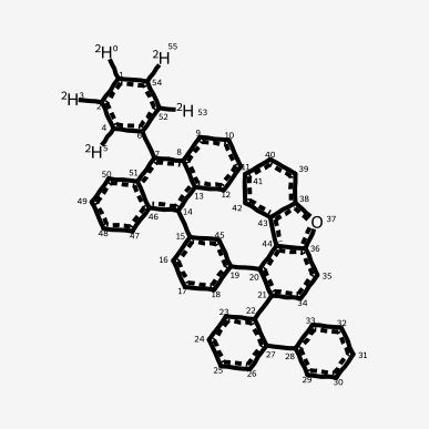 [2H]c1c([2H])c([2H])c(-c2c3ccccc3c(-c3cccc(-c4c(-c5ccccc5-c5ccccc5)ccc5oc6ccccc6c45)c3)c3ccccc23)c([2H])c1[2H]